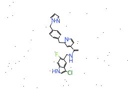 C=C(NCc1cc2c(Cl)c[nH]c2cc1F)c1ccnc(Cc2ccc(Cn3cccn3)cc2)c1